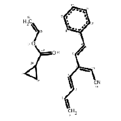 C=CC=CC(C=Cc1ccccc1)=CC#N.C=COC(=O)C1CC1